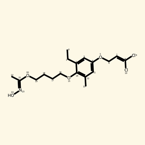 CCc1cc(OCC=C(Cl)Cl)cc(C)c1OCCCCOC(C)=NO